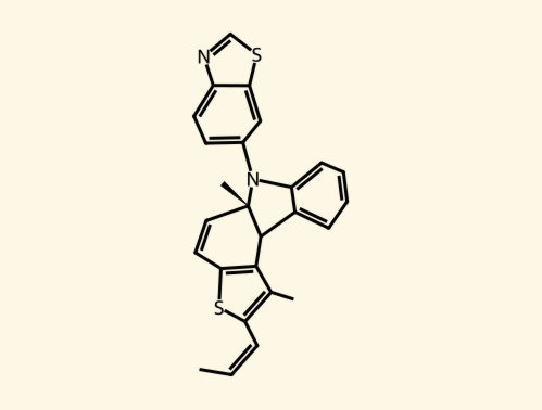 C/C=C\c1sc2c(c1C)C1c3ccccc3N(c3ccc4ncsc4c3)[C@@]1(C)C=C2